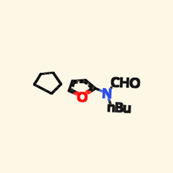 C1CCCC1.CCCCN(C=O)c1ccco1